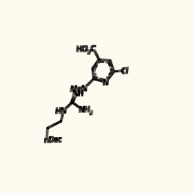 CCCCCCCCCCCCNC(=N)N.CNc1cc(C(=O)O)cc(Cl)n1